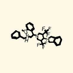 COc1ccccc1C(CNCc1ccccc1)N1CC(C(F)(F)F)C(N2Cc3ccccc3C2)C(C(F)(F)F)C1